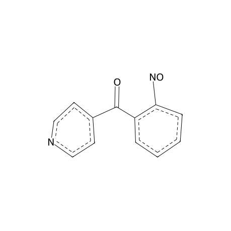 O=Nc1ccccc1C(=O)c1ccncc1